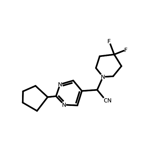 N#CC(c1cnc(C2CCCC2)nc1)N1CCC(F)(F)CC1